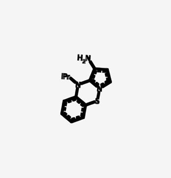 CC(C)N1c2ccccc2Sn2ccc(N)c21